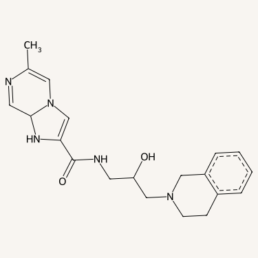 CC1=CN2C=C(C(=O)NCC(O)CN3CCc4ccccc4C3)NC2C=N1